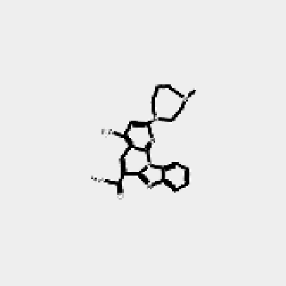 CNC(=O)c1cc2c(C(F)(F)F)cc(N3CCCN(C)CC3)nc2n2c1nc1ccccc12